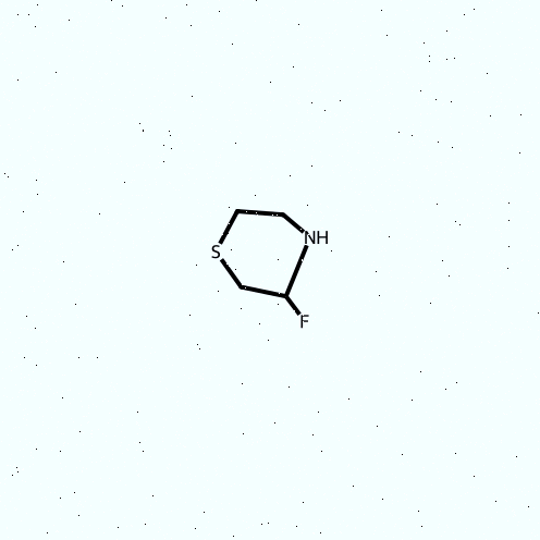 FC1CSCCN1